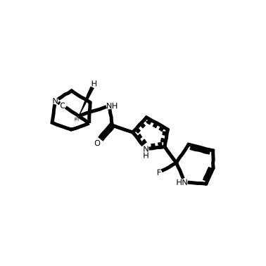 O=C(N[C@H]1CN2CCC1CC2)c1ccc(C2(F)C=CC=CN2)[nH]1